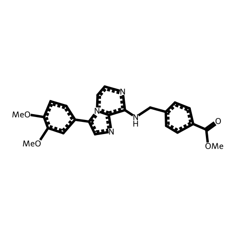 COC(=O)c1ccc(CNc2nccn3c(-c4ccc(OC)c(OC)c4)cnc23)cc1